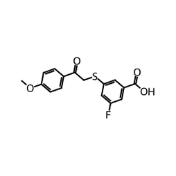 COc1ccc(C(=O)CSc2cc(F)cc(C(=O)O)c2)cc1